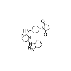 O=C1CCC(=O)N1[C@H]1CC[C@H](Nc2nccc(-n3nnc4ccccc43)n2)CC1